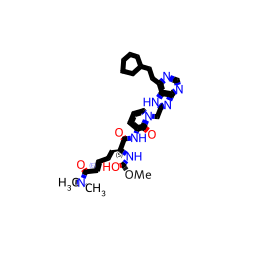 COC(O)N[C@@H](CC/C=C/C(=O)N(C)C)C(=O)Nc1cccn(Cc2nc3ncnc(CCC4CCCCC4)c3[nH]2)c1=O